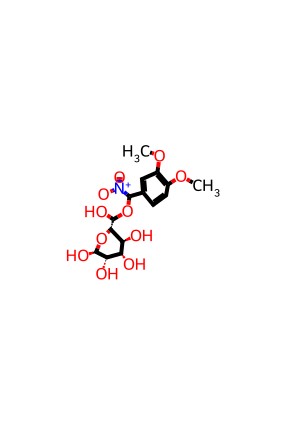 COc1ccc(C(OC(O)[C@H]2O[C@H](O)[C@@H](O)[C@@H](O)[C@@H]2O)[N+](=O)[O-])cc1OC